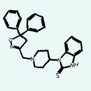 S=c1[nH]c2ccccc2n1C1CCN(CC2=NOC(c3ccccc3)(c3ccccc3)C2)CC1